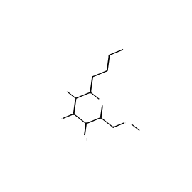 CCCCC1OC(COC)C(O)C(O)C1O